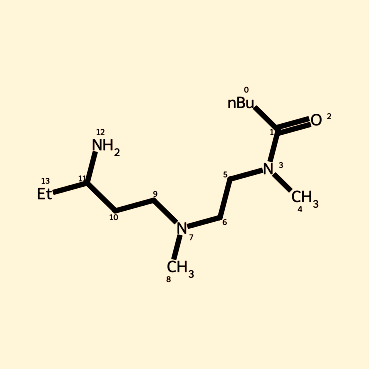 CCCCC(=O)N(C)CCN(C)CCC(N)CC